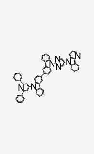 c1ccc(-c2cc(-n3c4ccccc4c4cc(-c5ccc6c(c5)c5ccccc5n6-c5ncc(-n6c7ccccc7c7ncccc76)cn5)ccc43)cc(-c3ccccc3)n2)cc1